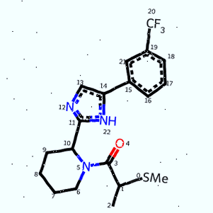 CSC(C)C(=O)N1CCCCC1c1ncc(-c2cccc(C(F)(F)F)c2)[nH]1